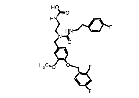 COc1cc(CN(CCNC(=O)O)C(=O)NCCc2ccc(F)cc2)ccc1OCc1ccc(F)cc1F